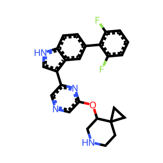 Fc1cccc(F)c1-c1ccc2[nH]cc(-c3cncc(OC4CNCCC45CC5)n3)c2c1